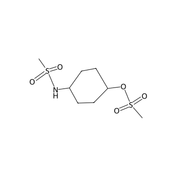 CS(=O)(=O)NC1CCC(OS(C)(=O)=O)CC1